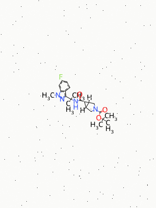 Cn1nc(C(C)(C)NC(=O)[C@H]2[C@@H]3CN(C(=O)OC(C)(C)C)C[C@@H]32)c2ccc(F)cc21